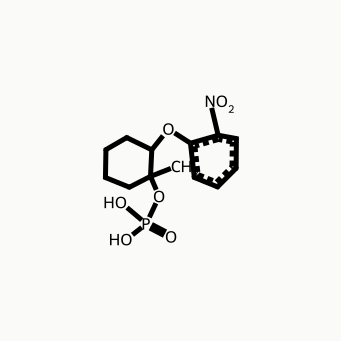 CC1(OP(=O)(O)O)CCCCC1Oc1ccccc1[N+](=O)[O-]